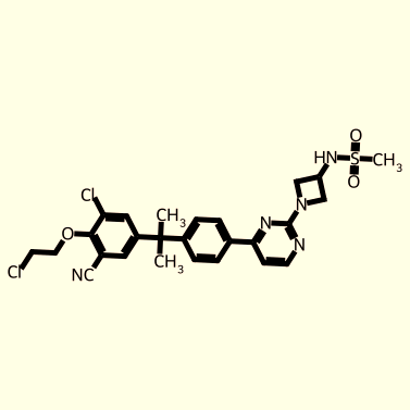 CC(C)(c1ccc(-c2ccnc(N3CC(NS(C)(=O)=O)C3)n2)cc1)c1cc(Cl)c(OCCCl)c(C#N)c1